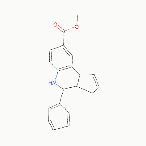 COC(=O)c1ccc2c(c1)C1C=CCC1C(c1ccccc1)N2